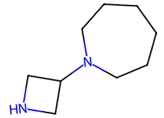 C1CCCN(C2CNC2)CC1